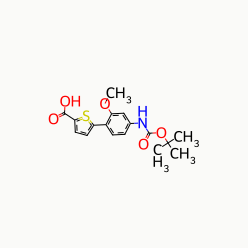 COc1cc(NC(=O)OC(C)(C)C)ccc1-c1ccc(C(=O)O)s1